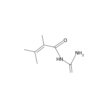 C=C(N)NC(=O)C(C)=C(C)C